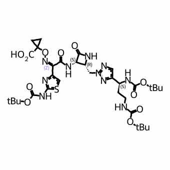 CC(C)(C)OC(=O)NCC[C@H](NC(=O)OC(C)(C)C)c1cnn(C[C@H]2NC(=O)[C@H]2NC(=O)/C(=N\OC2(C(=O)O)CC2)c2csc(NC(=O)OC(C)(C)C)n2)n1